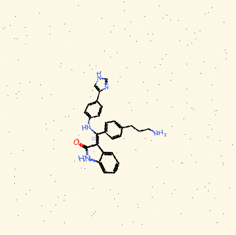 NCCCc1ccc(/C(Nc2ccc(-c3c[nH]cn3)cc2)=C2/C(=O)Nc3ccccc32)cc1